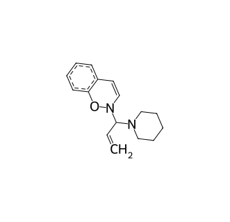 C=CC(N1CCCCC1)N1C=Cc2ccccc2O1